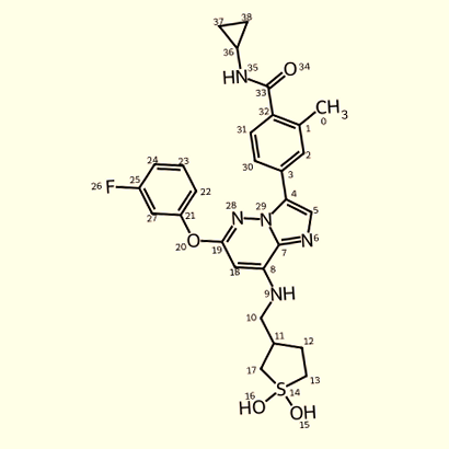 Cc1cc(-c2cnc3c(NCC4CCS(O)(O)C4)cc(Oc4cccc(F)c4)nn23)ccc1C(=O)NC1CC1